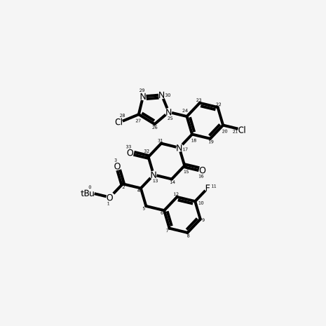 CC(C)(C)OC(=O)C(Cc1cccc(F)c1)N1CC(=O)N(c2cc(Cl)ccc2-n2cc(Cl)nn2)CC1=O